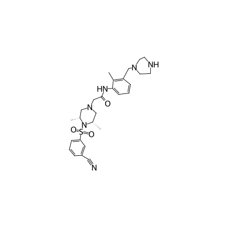 Cc1c(CN2CCNCC2)cccc1NC(=O)CN1C[C@@H](C)N(S(=O)(=O)c2cccc(C#N)c2)[C@@H](C)C1